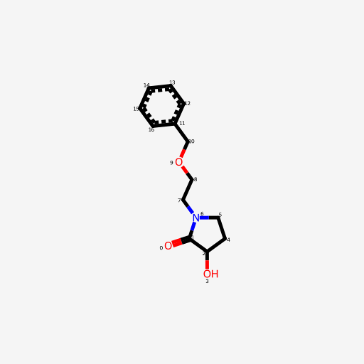 O=C1C(O)CCN1CCOCc1ccccc1